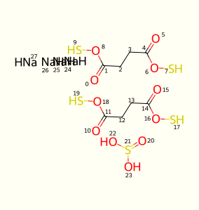 O=C(CCC(=O)OS)OS.O=C(CCC(=O)OS)OS.O=S(O)O.[NaH].[NaH].[NaH].[NaH]